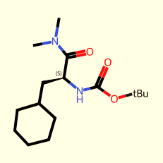 CN(C)C(=O)[C@H](CC1CCCCC1)NC(=O)OC(C)(C)C